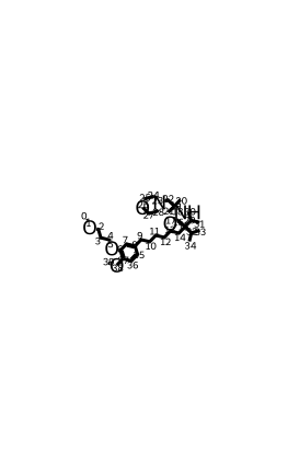 COCCCOc1cc(CCCCCCC(C(=O)NC(C)(C)CN2CCOCC2)(C(C)C)C(C)C)ccc1OC